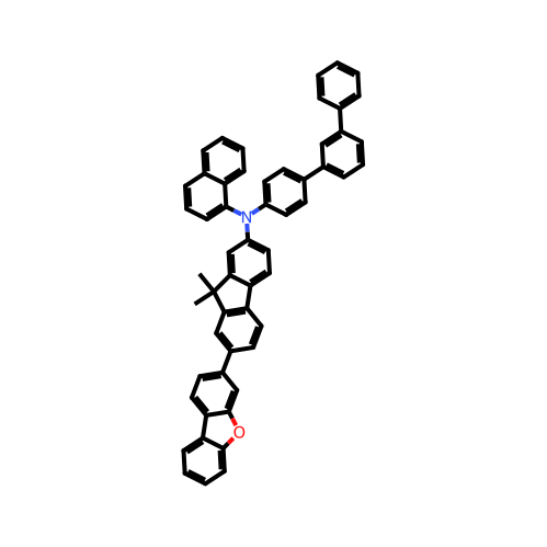 CC1(C)c2cc(-c3ccc4c(c3)oc3ccccc34)ccc2-c2ccc(N(c3ccc(-c4cccc(-c5ccccc5)c4)cc3)c3cccc4ccccc34)cc21